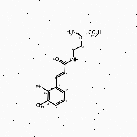 N[C@@H](CCNC(=O)/C=C/c1cccc(Cl)c1F)C(=O)O